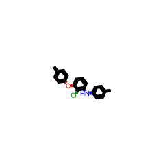 Cc1ccc(Nc2cccc(Oc3ccc(C)cc3)c2Cl)cc1